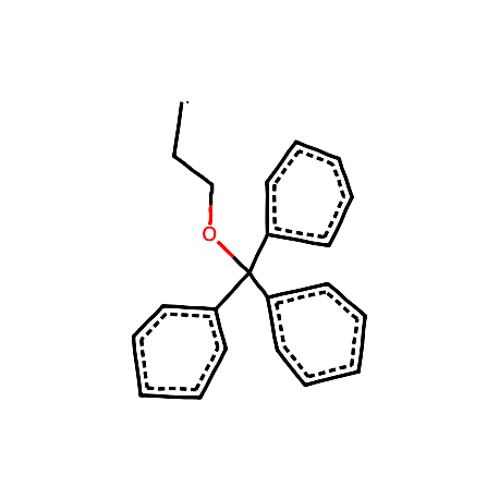 [CH2]CCOC(c1ccccc1)(c1ccccc1)c1ccccc1